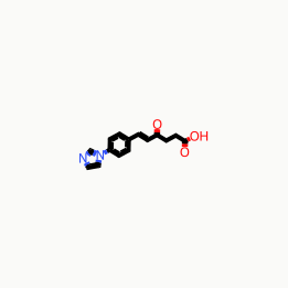 O=C(O)CCC(=O)/C=C/c1ccc(-n2ccnc2)cc1